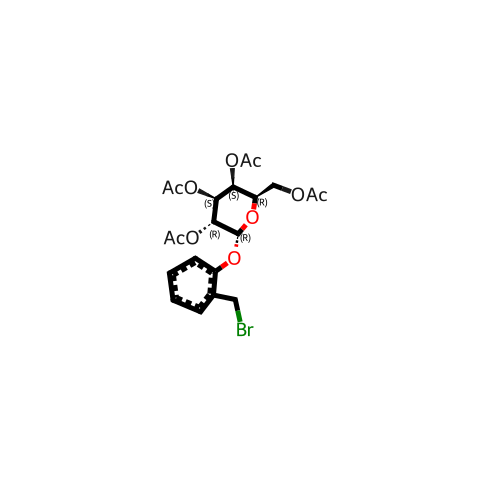 CC(=O)OC[C@H]1O[C@H](Oc2ccccc2CBr)[C@H](OC(C)=O)[C@@H](OC(C)=O)[C@H]1OC(C)=O